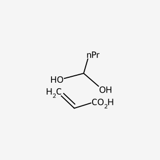 C=CC(=O)O.CCCC(O)O